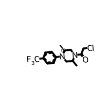 CC1CN(c2ccc(C(F)(F)F)cc2)[C@@H](C)CN1C(=O)CCl